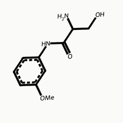 COc1cc[c]c(NC(=O)C(N)CO)c1